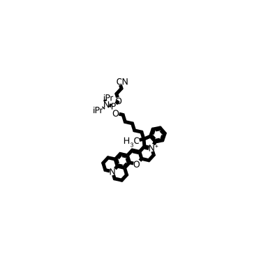 CC(C)N(C(C)C)P(OCCC#N)OCCCCCC1(C)C2=[N+](CCC3Oc4c(cc5c6c4CCCN6CCC5)C=C23)c2ccccc21